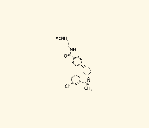 CC(=O)NCCNC(=O)c1ccc([C@H]2CCC(N[C@H](C)c3cccc(Cl)c3)C2)cc1